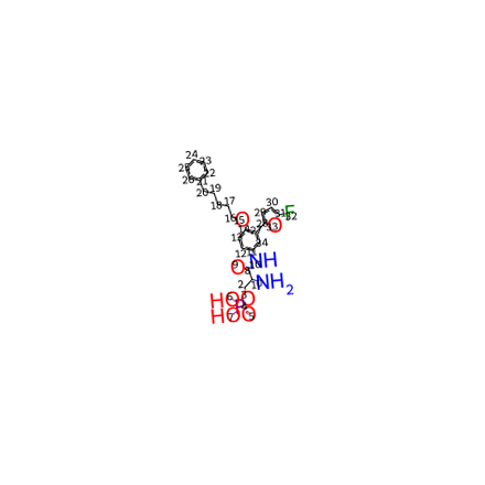 NC(COP(=O)(O)O)C(=O)Nc1ccc(OCCCCCc2ccccc2)c(-c2ccc(F)o2)c1